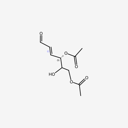 CC(=O)OCC(O)[C@H](/C=C/C=O)OC(C)=O